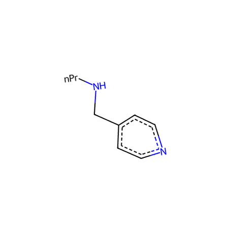 [CH2]CCNCc1ccncc1